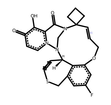 O=C1c2c(O)c(=O)ccn2N2CN1C1(/C=C/COc3cc(F)cc4c3[C@@H]2c2ccccc2SC4)CCC1